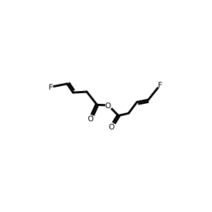 O=C(C/C=C/F)OC(=O)C/C=C/F